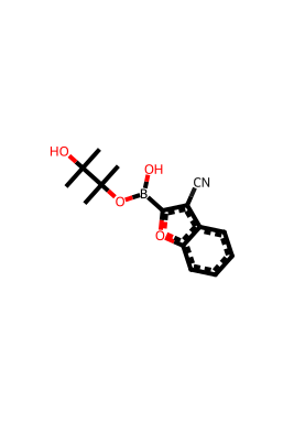 CC(C)(O)C(C)(C)OB(O)c1oc2ccccc2c1C#N